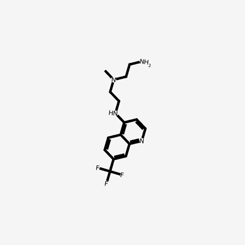 CN(CCN)CCNc1ccnc2cc(C(F)(F)F)ccc12